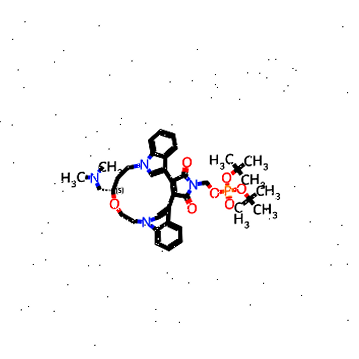 CN(C)C[C@@H]1CCn2cc(c3ccccc32)C2=C(C(=O)N(COP(=O)(OC(C)(C)C)OC(C)(C)C)C2=O)c2cn(c3ccccc23)CCO1